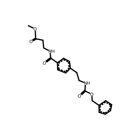 COC(=O)CCNC(=O)c1ccc(CCNC(=O)OCc2ccccc2)cc1